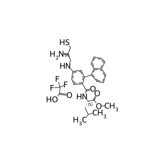 COC(=O)[C@H](CC(C)C)NC(=O)c1ccc(NC[C@@H](N)CS)cc1-c1cccc2ccccc12.O=C(O)C(F)(F)F